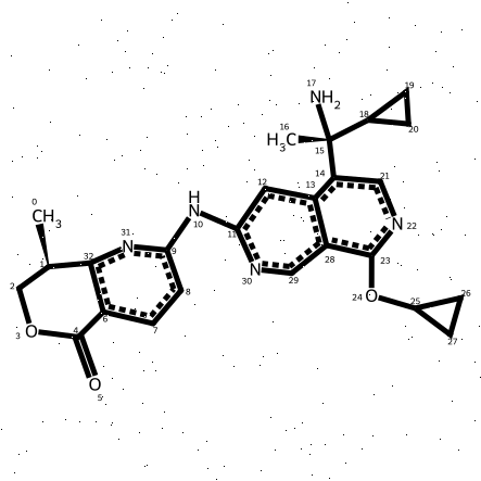 C[C@@H]1COC(=O)c2ccc(Nc3cc4c([C@](C)(N)C5CC5)cnc(OC5CC5)c4cn3)nc21